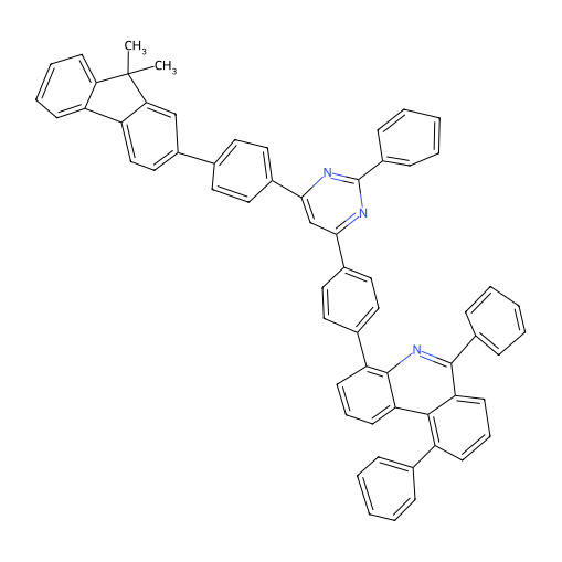 CC1(C)c2ccccc2-c2ccc(-c3ccc(-c4cc(-c5ccc(-c6cccc7c6nc(-c6ccccc6)c6cccc(-c8ccccc8)c67)cc5)nc(-c5ccccc5)n4)cc3)cc21